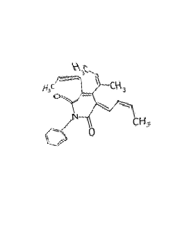 C/C=C\C=C1\C(=O)N(c2ccccc2)C(=O)C(/C=C\C)=C1/C(C)=C\C